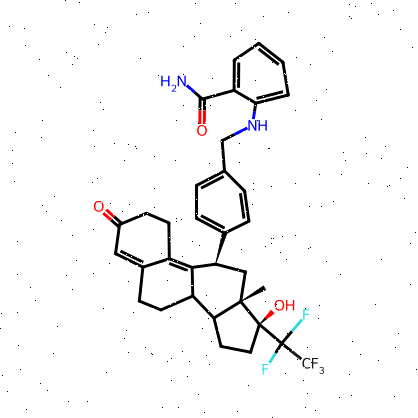 C[C@]12C[C@H](c3ccc(CNc4ccccc4C(N)=O)cc3)C3=C4CCC(=O)C=C4CCC3C1CC[C@@]2(O)C(F)(F)C(F)(F)F